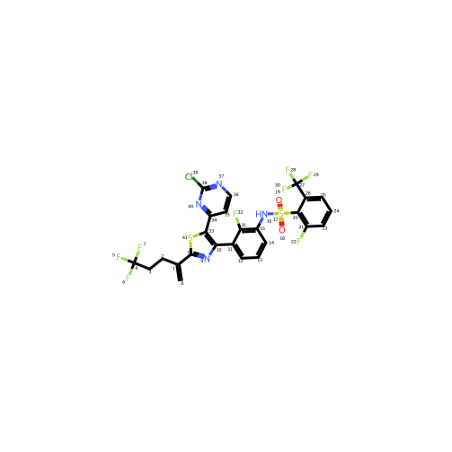 C=C(CCC(F)(F)F)c1nc(-c2cccc(NS(=O)(=O)c3c(F)cccc3C(F)(F)F)c2F)c(-c2ccnc(Cl)n2)s1